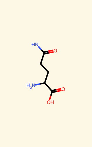 [NH]C(=O)CCC(N)C(=O)O